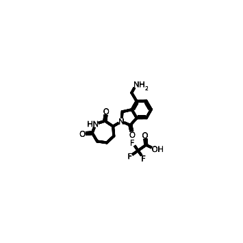 NCc1cccc2c1CN(C1CCCC(=O)NC1=O)C2=O.O=C(O)C(F)(F)F